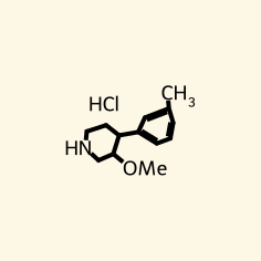 COC1CNCCC1c1cccc(C)c1.Cl